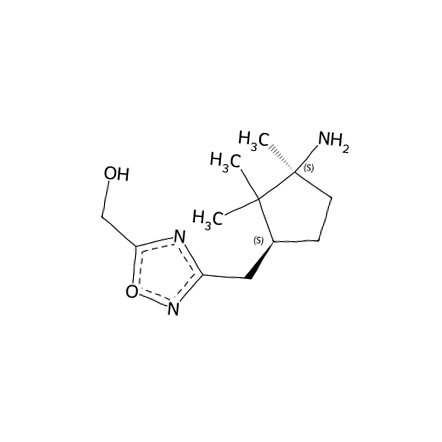 CC1(C)[C@H](Cc2noc(CO)n2)CC[C@]1(C)N